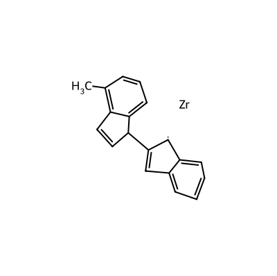 Cc1cccc2c1C=CC2C1=Cc2ccccc2[CH]1.[Zr]